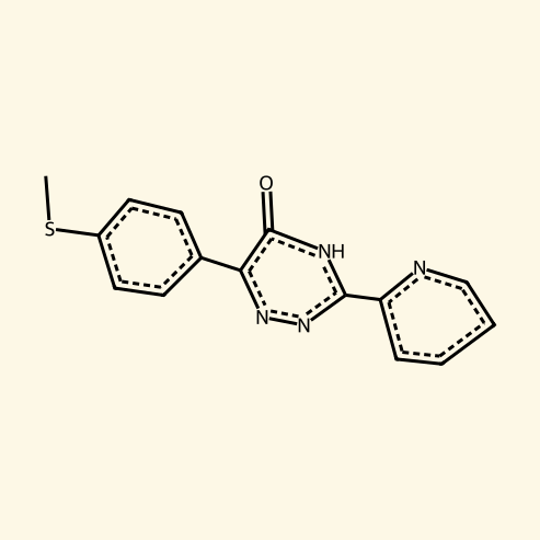 CSc1ccc(-c2nnc(-c3ccccn3)[nH]c2=O)cc1